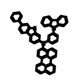 c1ccc(-c2ccc3c(c2)sc2cc(N(c4ccc(-c5cccc6cccc(-c7ccccc7)c56)cc4)c4cccc(-n5c6ccccc6c6ccccc65)c4)ccc23)cc1